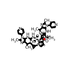 Cc1nc(C(C)C)c(NC(=O)NS(=O)(=O)c2ccn(C3CC3CC(C)c3nc(C)n(-c4ccncc4)c3NC(=O)NS(=O)(=O)N(C)C3CCN(C)C3)n2)n1-c1ccncc1